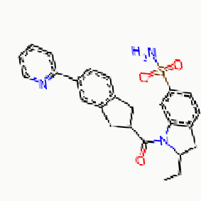 CCC1Cc2ccc(S(N)(=O)=O)cc2N1C(=O)C1Cc2ccc(-c3ccccn3)cc2C1